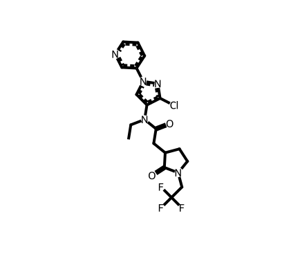 CCN(C(=O)CC1CCN(CC(F)(F)F)C1=O)c1cn(-c2cccnc2)nc1Cl